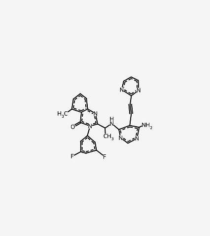 Cc1cccc2nc(C(C)Nc3ncnc(N)c3C#Cc3ncccn3)n(-c3cc(F)cc(F)c3)c(=O)c12